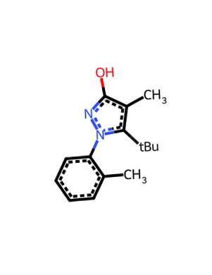 Cc1ccccc1-n1nc(O)c(C)c1C(C)(C)C